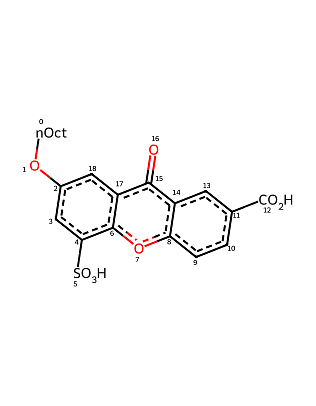 CCCCCCCCOc1cc(S(=O)(=O)O)c2oc3ccc(C(=O)O)cc3c(=O)c2c1